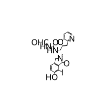 O=CNC(=O)N[C@@H](CN1Cc2ccc(O)c(I)c2C1=O)c1cc2ncccc2o1